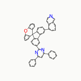 c1ccc(-c2cc(-c3ccccc3)nc(-c3ccc4c(c3)-c3cc(-c5cccc6cnccc56)ccc3C43c4ccccc4Oc4ccccc43)n2)cc1